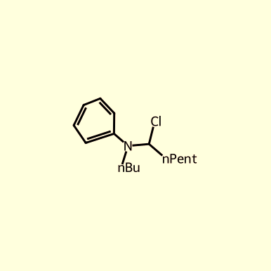 CCCCCC(Cl)N(CCCC)c1ccccc1